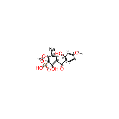 COc1ccc(C(=O)c2c[c]([Na])c(OC)c(S(=O)(=O)O)c2O)c(O)c1